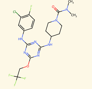 CN(C)C(=O)N1CCC(Nc2nc(Nc3ccc(F)c(Cl)c3)nc(OCC(F)(F)F)n2)CC1